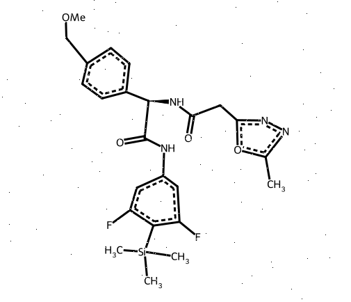 COCc1ccc([C@@H](NC(=O)Cc2nnc(C)o2)C(=O)Nc2cc(F)c([Si](C)(C)C)c(F)c2)cc1